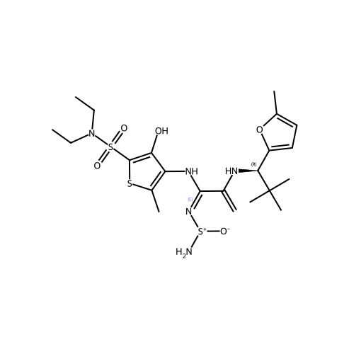 C=C(N[C@@H](c1ccc(C)o1)C(C)(C)C)/C(=N\[S+](N)[O-])Nc1c(C)sc(S(=O)(=O)N(CC)CC)c1O